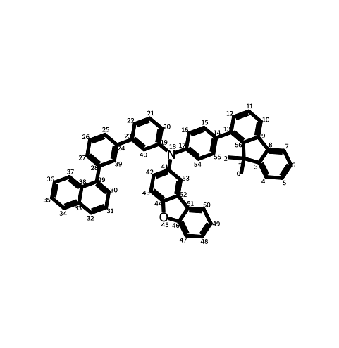 CC1(C)c2ccccc2-c2cccc(-c3ccc(N(c4cccc(-c5cccc(-c6cccc7ccccc67)c5)c4)c4ccc5oc6ccccc6c5c4)cc3)c21